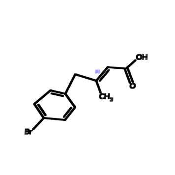 C/C(=C\C(=O)O)Cc1ccc(Br)cc1